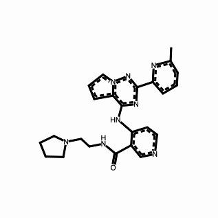 Cc1cccc(-c2nc(Nc3ccncc3C(=O)NCCN3CCCC3)c3cccn3n2)n1